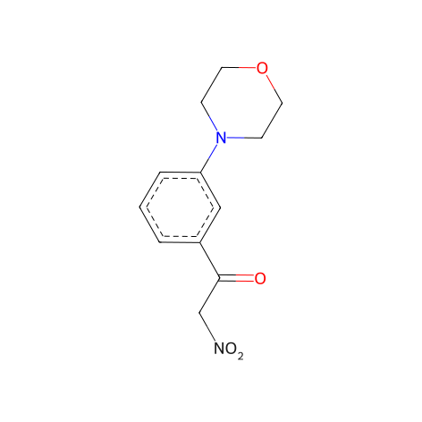 O=C(C[N+](=O)[O-])c1cccc(N2CCOCC2)c1